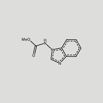 COC(=O)Nn1cnc2ccccc21